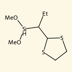 CCC(C1SCCS1)[SiH](OC)OC